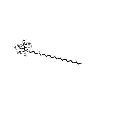 CCCCCCCCCCCCCCCCOCCCOP(=O)(O)C(O)(CN)P(=O)(O)O